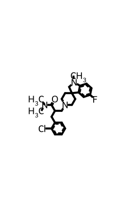 CN(C)C(=O)C(Cc1ccccc1Cl)CN1CCC2(CC1)CN(C)c1ccc(F)cc12